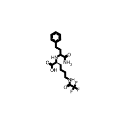 NC(=O)C(CCc1ccccc1)N[C@@H](CCCCNC(=O)C(F)(F)F)C(=O)O